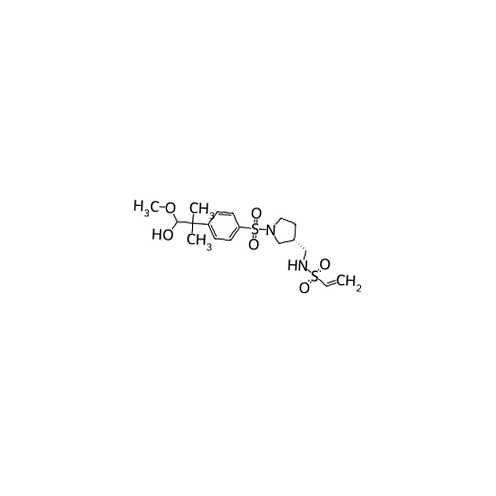 C=CS(=O)(=O)NC[C@H]1CCN(S(=O)(=O)c2ccc(C(C)(C)C(O)OC)cc2)C1